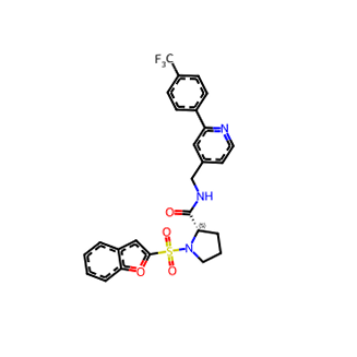 O=C(NCc1ccnc(-c2ccc(C(F)(F)F)cc2)c1)[C@@H]1CCCN1S(=O)(=O)c1cc2ccccc2o1